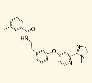 Cc1cccc(C(=O)NCCc2cccc(Oc3ccnc(C4=NCCN4)c3)c2)c1